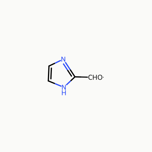 O=[C]c1ncc[nH]1